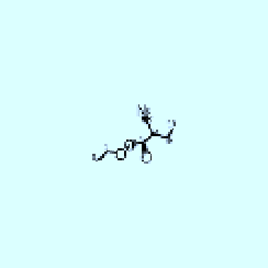 CCOOC(=O)C(C#N)CC